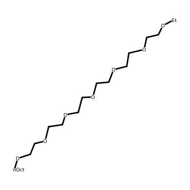 CCCCCCCCOCCOCCOCCOCCOCCOCCOCC